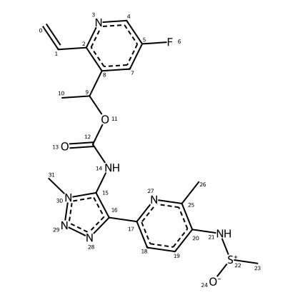 C=Cc1ncc(F)cc1C(C)OC(=O)Nc1c(-c2ccc(N[S+](C)[O-])c(C)n2)nnn1C